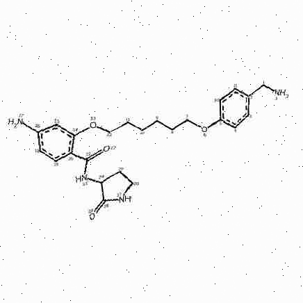 NCc1ccc(OCCCCCCOc2cc(N)ccc2C(=O)NC2CCNC2=O)cc1